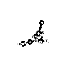 O=c1c(C#CC2=CCCC2)cc2cnc(Nc3ccc(N4CCNCC4)cc3)nc2n1Cc1cnoc1C(F)(F)F